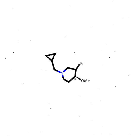 CO[C@H]1CCN(CC2CC2)CC1C(C)C